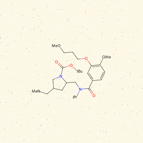 CNCC1CC(CN(C(=O)c2ccc(OC)c(OCCCOC)c2)C(C)C)N(C(=O)OC(C)(C)C)C1